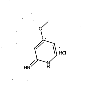 COc1cc[nH]c(=N)c1.Cl